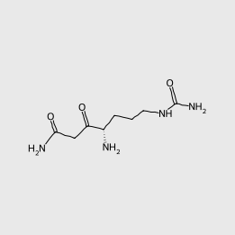 NC(=O)CC(=O)[C@@H](N)CCCNC(N)=O